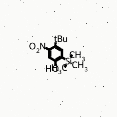 CC(C)(C)c1cc([Si](C)(C)C)c(O)cc1[N+](=O)[O-]